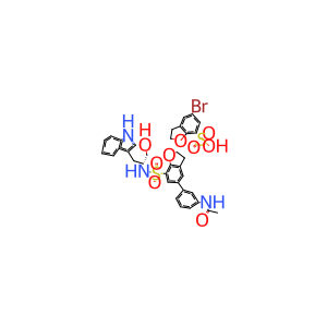 CC(=O)Nc1cccc(-c2cc3c(c(S(=O)(=O)N[C@@H](CO)Cc4c[nH]c5ccccc45)c2)OCC3)c1.O=S(=O)(O)c1cc(Br)cc2c1OCC2